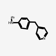 CC(C)Nc1ccc(Cc2ccncc2)cc1